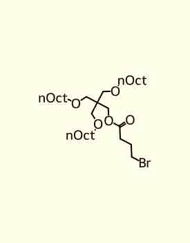 CCCCCCCCOCC(COCCCCCCCC)(COCCCCCCCC)COC(=O)CCCBr